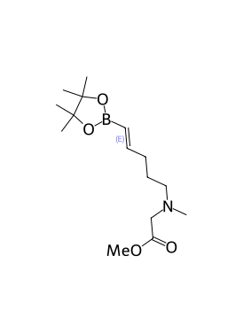 COC(=O)CN(C)CCC/C=C/B1OC(C)(C)C(C)(C)O1